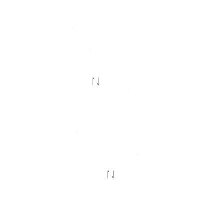 C1[N]CC2CN(C3CC3)CC12